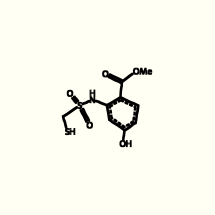 COC(=O)c1ccc(O)cc1NS(=O)(=O)CS